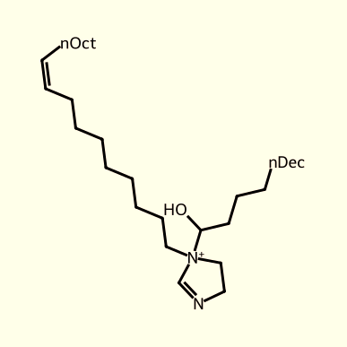 CCCCCCCC/C=C\CCCCCCCC[N+]1(C(O)CCCCCCCCCCCCC)C=NCC1